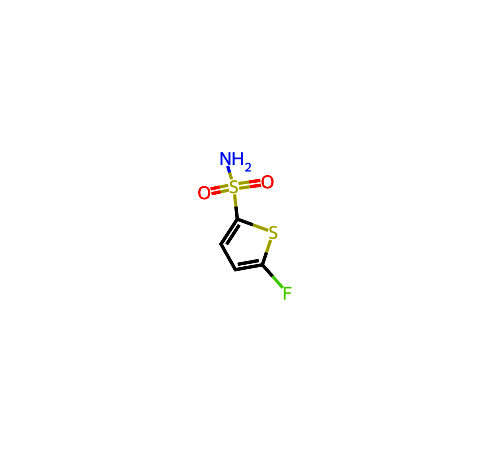 NS(=O)(=O)c1ccc(F)s1